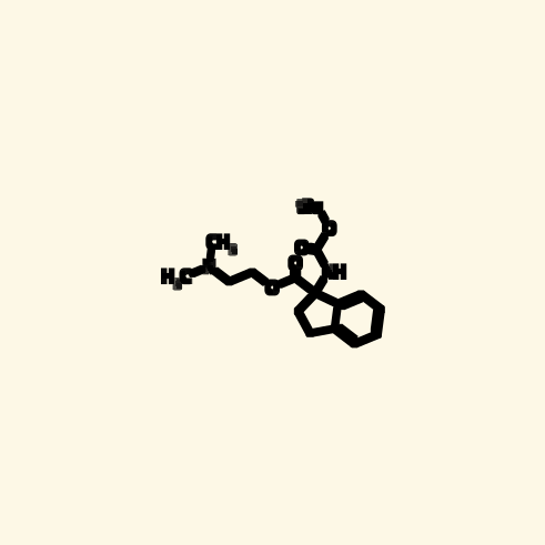 CN(C)CCOC(=O)C1(NC(=O)OC(C)(C)C)CCc2ccccc21